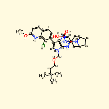 COc1ccc2ccc(-c3cn(COCC[Si](C)(C)C)c4nc(N5C6CCC5CC(NC(=O)O)C6)cnc34)c(Cl)c2n1